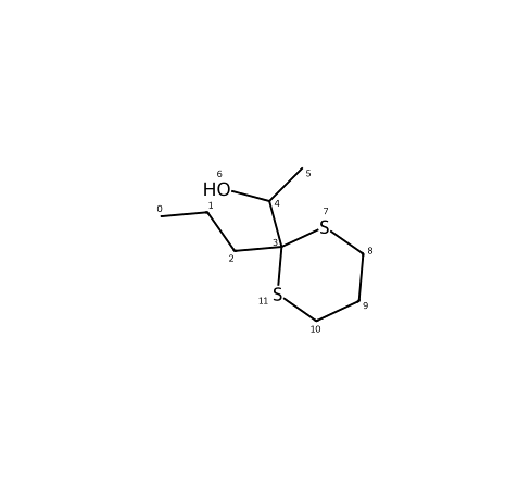 CCCC1(C(C)O)SCCCS1